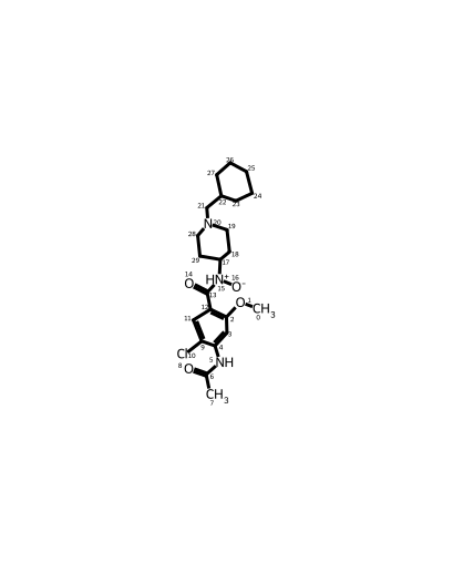 COc1cc(NC(C)=O)c(Cl)cc1C(=O)[NH+]([O-])C1CCN(CC2CCCCC2)CC1